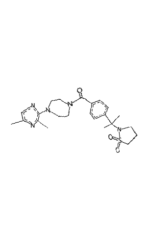 Cc1cnc(N2CCN(C(=O)c3ccc(C(C)(C)N4CCCS4(=O)=O)cc3)CC2)c(C)n1